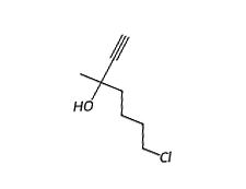 C#CC(C)(O)CCCCCl